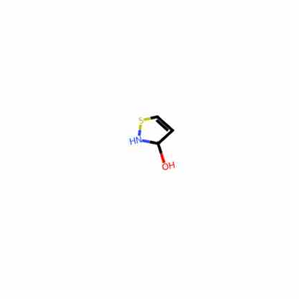 O[C]1C=CSN1